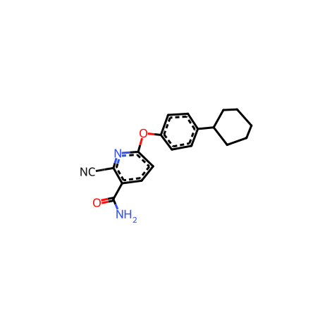 N#Cc1nc(Oc2ccc(C3CCCCC3)cc2)ccc1C(N)=O